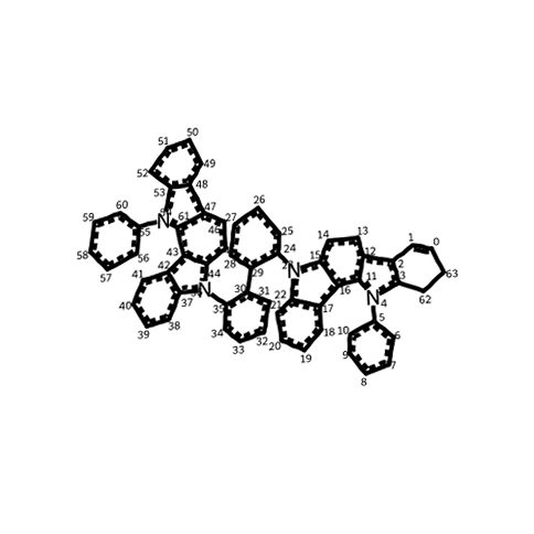 C1=Cc2c(n(-c3ccccc3)c3c2ccc2c3c3ccccc3n2-c2ccccc2-c2ccccc2-n2c3ccccc3c3c2ccc2c4ccccc4n(-c4ccccc4)c23)CC1